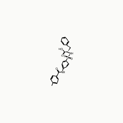 Cc1ccc(C(=O)Nc2ccc(S(=O)(=O)N[C@H](Cc3ccccc3)C(=O)O)cc2)cc1